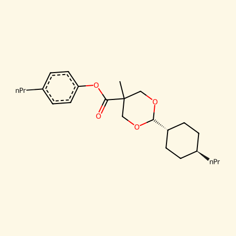 CCCc1ccc(OC(=O)C2(C)COC([C@H]3CC[C@H](CCC)CC3)OC2)cc1